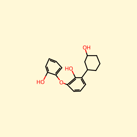 Oc1ccccc1Oc1cccc(C2CCCC(O)C2)c1O